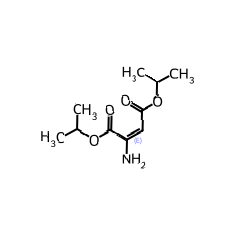 CC(C)OC(=O)/C=C(/N)C(=O)OC(C)C